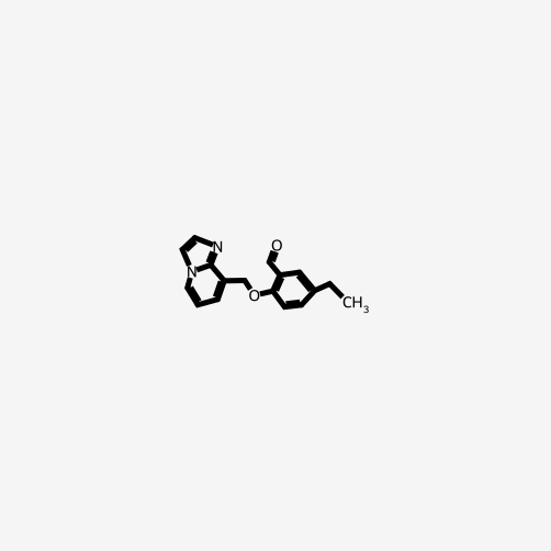 CCc1ccc(OCc2cccn3ccnc23)c(C=O)c1